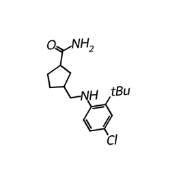 CC(C)(C)c1cc(Cl)ccc1NCC1CCC(C(N)=O)C1